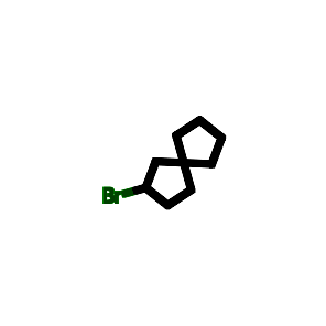 BrC1CCC2(CCCC2)C1